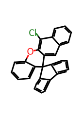 Clc1c2c(cc3ccccc13)C1(c3ccccc3O2)c2ccccc2-c2ccccc21